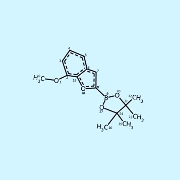 COc1cccc2cc(B3OC(C)(C)C(C)(C)O3)oc12